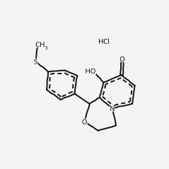 CSc1ccc(C2OCCn3ccc(=O)c(O)c32)cc1.Cl